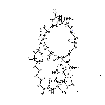 COc1cc2cc(c1Cl)N(C)C(=O)C[C@@H](OC(=O)CN(C)C(=O)CCSSCC(C)C(=O)NC(C(=O)N1CCC[C@@H]1B(O)O)C(C)C)[C@]1(C)O[C@H]1[C@@H](C)C1C[C@](O)(NC(=O)O1)[C@@H](O)/C=C/C=C(\C)C2